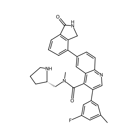 Cc1cc(F)cc(-c2cnc3ccc(-c4cccc5c4CNC5=O)cc3c2C(=O)N(C)C[C@@H]2CCCN2)c1